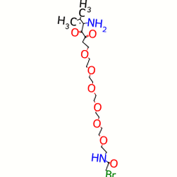 CC(C)[C](N)C(=O)C(=O)CCOCCOCCOCCOCCOCCOCCNC(=O)CBr